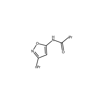 CCCc1cc(NC(=O)C(C)C)on1